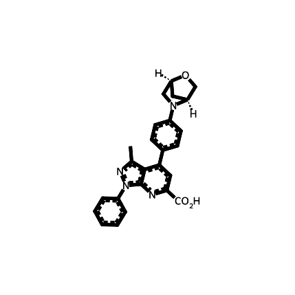 Cc1nn(-c2ccccc2)c2nc(C(=O)O)cc(-c3ccc(N4C[C@@H]5C[C@H]4CO5)cc3)c12